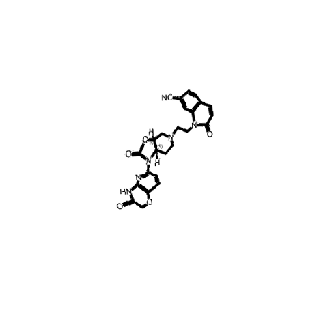 N#Cc1ccc2ccc(=O)n(CCN3CC[C@H]4[C@@H](C3)OC(=O)N4c3ccc4c(n3)NC(=O)CO4)c2c1